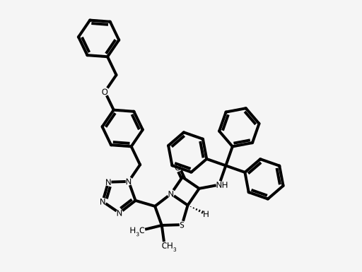 CC1(C)S[C@@H]2C(NC(c3ccccc3)(c3ccccc3)c3ccccc3)C(=O)N2C1c1nnnn1Cc1ccc(OCc2ccccc2)cc1